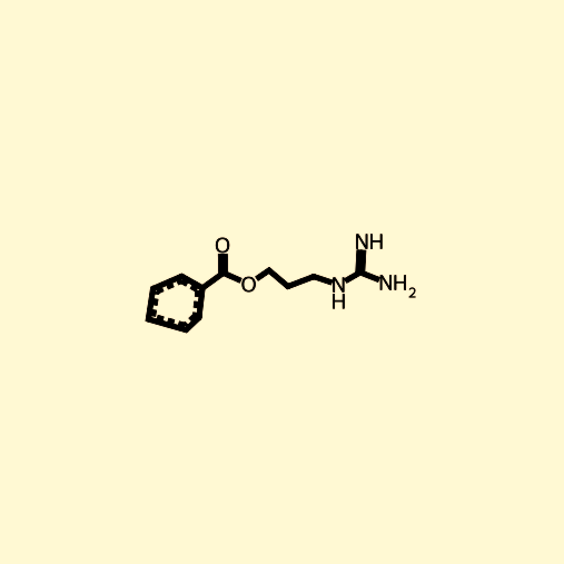 N=C(N)NCCCOC(=O)c1ccccc1